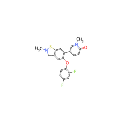 CN1Cc2cc(Oc3ccc(F)cc3F)c(-c3ccc(=O)n(C)c3)cc2S1